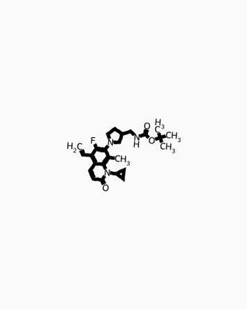 C=Cc1c(F)c(N2CCC(CNC(=O)OC(C)(C)C)C2)c(C)c2c1ccc(=O)n2C1CC1